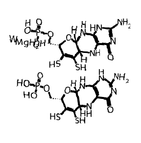 Nc1nc(=O)c2c([nH]1)N[C@H]1O[C@@H](COP(=O)(O)O)C(S)=C(S)[C@H]1N2.Nc1nc(=O)c2c([nH]1)N[C@H]1O[C@@H](COP(=O)(O)O)C(S)=C(S)[C@H]1N2.[MgH2].[W]